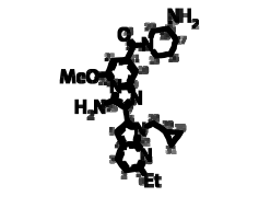 CCc1ccc2cc(-c3nc4cc(C(=O)N5CCC[C@@H](N)C5)cc(OC)n4c3N)n(CC3CC3)c2n1